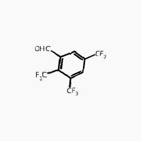 O=Cc1cc(C(F)(F)F)cc(C(F)(F)F)c1C(F)(F)F